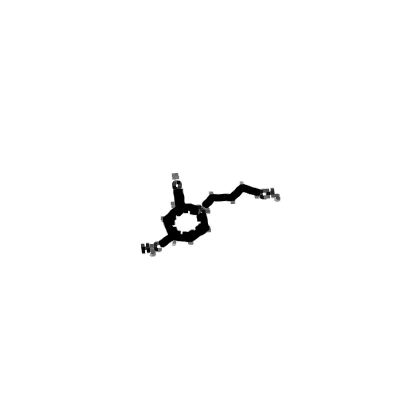 CCCCn1ccc(C)cc1=O